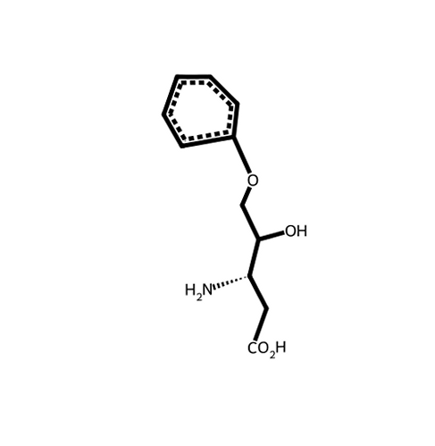 N[C@@H](CC(=O)O)C(O)COc1ccccc1